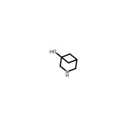 OC12CNCC(C1)C2